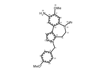 COc1ccc(Cn2ncc3c2CCN(C(C)C)c2cc(OC)c(N)cc2-3)cc1